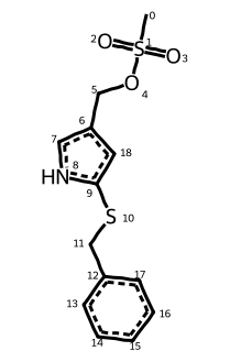 CS(=O)(=O)OCc1c[nH]c(SCc2ccccc2)c1